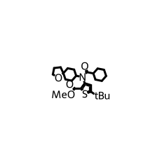 COC(=O)c1sc(C(C)(C)C)cc1N(C(=O)C1CCCCC1)C1CCC2(CCCO2)CC1